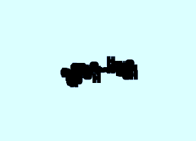 O=C(NCCCCNC[C@@H](O)c1ccc(O)c2[nH]c(=O)ccc12)c1coc(COc2cccc(C(c3ccccc3)N(C(=O)O)[C@H]3CN4CCC3CC4)c2)n1